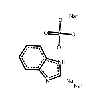 O=P([O-])([O-])[O-].[Na+].[Na+].[Na+].c1ccc2[nH]cnc2c1